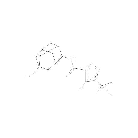 CC(C)(C)n1ncc(C(=O)NC2C3CC4CC2CC(O)(C4)C3)c1Cl